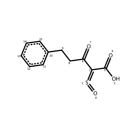 O=S=C(C(=O)O)C(=O)CCc1ccccc1